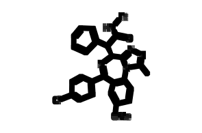 CCNC(=O)C(c1ccccc1)[C@@H]1N=C(c2ccc(Cl)cc2)c2cc(OC)ccc2-n2c(C)nnc21